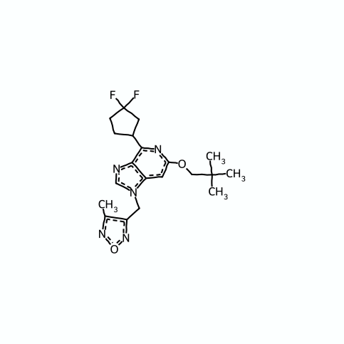 Cc1nonc1Cn1cnc2c(C3CCC(F)(F)C3)nc(OCC(C)(C)C)cc21